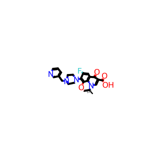 C[C@H]1COc2c(N3CCN(Cc4cccnc4)CC3)c(F)cc3c(=O)c(C(=O)O)cn1c23